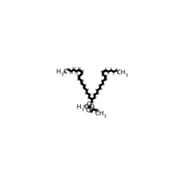 CCCCC/C=C\C/C=C\CCCCCCCCC(CCCCCCCC/C=C\C/C=C\CCCCC)COC1(C)OCC(CC)O1